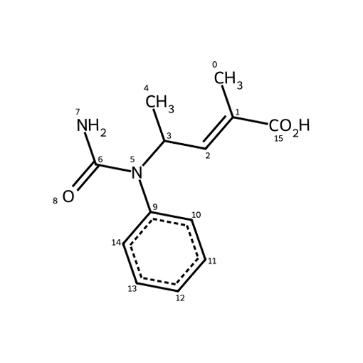 CC(=CC(C)N(C(N)=O)c1ccccc1)C(=O)O